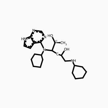 C[C@H](O)C(CC(O)CNC1CCCCC1)N(c1ncnc2[nH]ccc12)C1CCCCC1